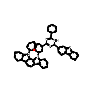 c1ccc(C2=NC(c3cccc(-n4c5ccccc5c5ccc6c7ccccc7n(-c7ccccc7)c6c54)c3)=NC(c3ccc4c(c3)sc3ccccc34)N2)cc1